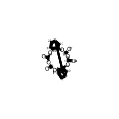 O=C1OC(=O)Oc2ccc3cc2OC(=O)OC(=O)Oc2cc(ccc2O1)C3O